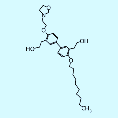 CCCCCCCCCCOc1ccc(-c2ccc(OCCN3CCOC3)c(CCO)c2)cc1CCO